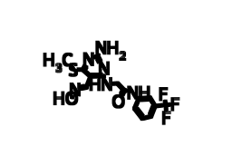 CSc1nc(N)nc(NCC(=O)Nc2cccc(C(F)(F)F)c2)c1C=NO